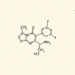 Cc1csc2nc(C(C)N)c(-c3cc(F)cc(F)c3)c(=O)n12.Cl